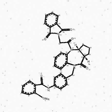 COc1ccccc1C(=O)Nc1ccc(CN2C(=O)[C@H]3CCC[C@H]3N(C(=O)CN3C(=O)c4ccccc4C3=O)c3ccccc32)cc1